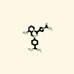 CC(=O)N1CC(C(=O)N2CCCC(N)C2COC2CCC(C(C)C)CC2)C1